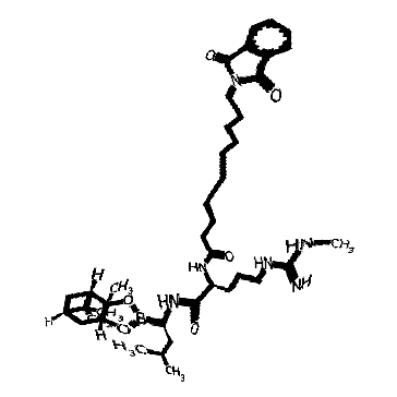 CNC(=N)NCCC[C@H](NC(=O)CCCCCCCCCN1C(=O)c2ccccc2C1=O)C(=O)N[C@@H](CC(C)C)B1O[C@@H]2C[C@@H]3C[C@@H](C3(C)C)[C@]2(C)O1